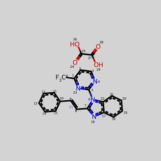 FC(F)(F)c1ccnc(-n2c(/C=C/c3ccccc3)nc3ccccc32)n1.O=C(O)C(=O)O